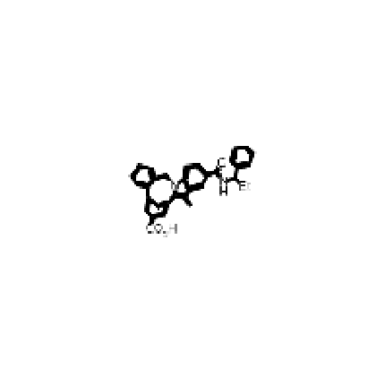 CCC(NC(=O)c1ccc2c(c1)c(C)c1n2Cc2ccccc2-c2cc(C(=O)O)cc-1c2)c1ccccc1